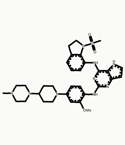 COc1cc(N2CCC(N3CCN(C)CC3)CC2)ccc1Nc1nc(Nc2cccc3c2N(S(C)(=O)=O)CC3)c2[nH]ccc2n1